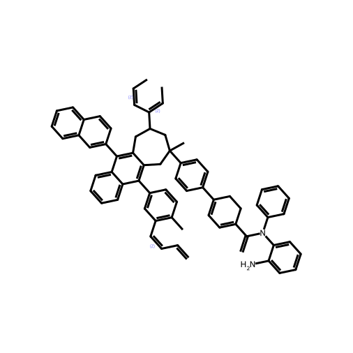 C=C/C=C\c1cc(-c2c3c(c(-c4ccc5ccccc5c4)c4ccccc24)CC(C(/C=C\C)=C/C)CC(C)(c2ccc(C4=CC=C(C(=C)N(c5ccccc5)c5ccccc5N)CC4)cc2)C3)ccc1C